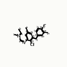 CCN(C)/C=N\c1cc(C)cc(Cc2ccc(F)c(C)c2)c1Cl